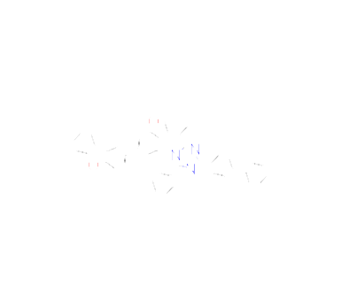 C1=C(c2nc(-c3ccccc3)nc(-c3ccc(-c4ccccc4)cc3)n2)c2c(oc3cc(-c4ccc5oc6ccccc6c5c4)ccc23)CC1